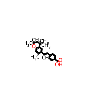 C/C(=C\c1ccc(C(=O)O)cc1)c1cc2c(cc1C)OC(C)(C)CC2(C)C